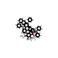 Bc1c(B)c(B)c2c(C34C5=C(C=C(N(c6ccccc6)c6ccc7ccccc7c6)C56CC=Cc5c6c6c3cccc6n5-c3ccccc3)c3cc(N(c5ccccc5)c5ccccc5)ccc34)c(B)c(B)c(B)c2c1B